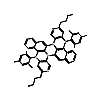 CCCCc1cc2c(cn1)N1c3cc4ccccc4c4c3N(c3cnc(CCCC)cc3B4c3c(C)cc(C)cc3C)c3cc4ccccc4c(c31)B2c1c(C)cc(C)cc1C